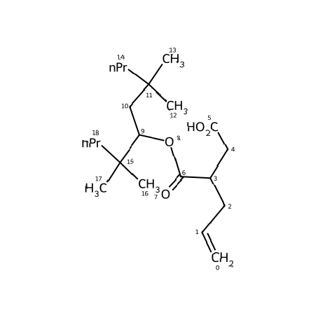 C=CCC(CC(=O)O)C(=O)OC(CC(C)(C)CCC)C(C)(C)CCC